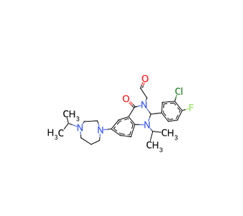 CC(C)N1CCCN(c2ccc3c(c2)C(=O)N(CC=O)C(c2ccc(F)c(Cl)c2)N3C(C)C)CC1